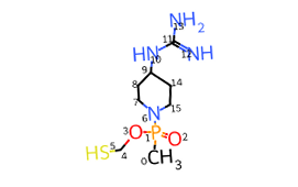 CP(=O)(OCS)N1CCC(NC(=N)N)CC1